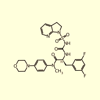 CN(C(=O)[C@H](Cc1cc(F)cc(F)c1)NC(=O)NS(=O)(=O)N1CCc2cccnc21)c1ccc(N2CCOCC2)cc1